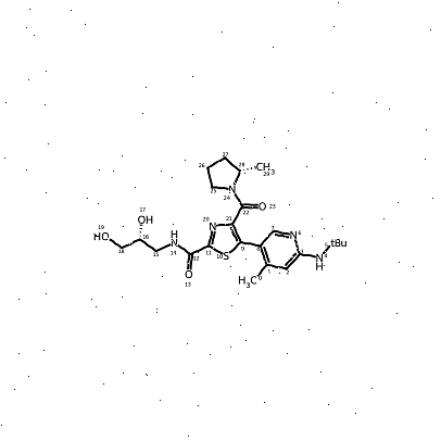 Cc1cc(NC(C)(C)C)ncc1-c1sc(C(=O)NC[C@@H](O)CO)nc1C(=O)N1CCC[C@@H]1C